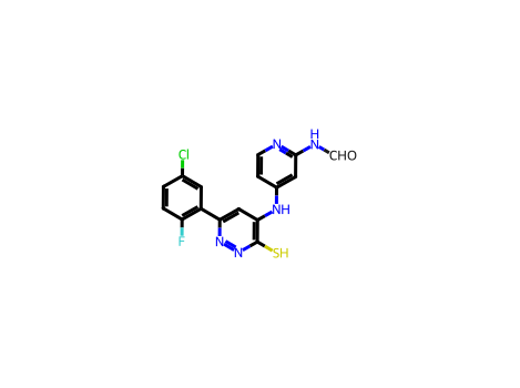 O=CNc1cc(Nc2cc(-c3cc(Cl)ccc3F)nnc2S)ccn1